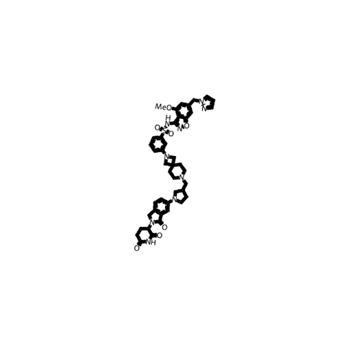 COc1cc(Cn2cccn2)cc2onc(NS(=O)(=O)c3cccc(N4CC5(CCN(CC6CCN(c7ccc8c(c7)C(=O)N(C7CCC(=O)NC7=O)C8)C6)CC5)C4)c3)c12